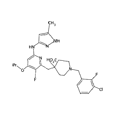 Cc1cc(Nc2cc(OC(C)C)c(F)c(CC3(C(=O)O)CCN(Cc4cccc(Cl)c4F)CC3)n2)n[nH]1